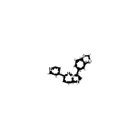 c1cc(-c2ccc3ncc(-c4ccc5c(c4)OCO5)n3n2)ccn1